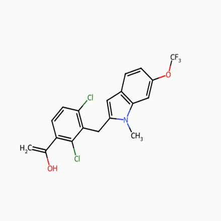 C=C(O)c1ccc(Cl)c(Cc2cc3ccc(OC(F)(F)F)cc3n2C)c1Cl